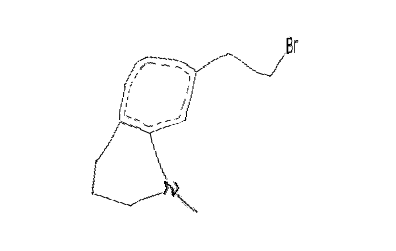 CN1CCCc2ccc(CCBr)cc21